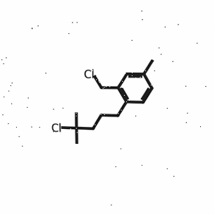 Cc1ccc(CCCC(C)(C)Cl)c(CCl)c1